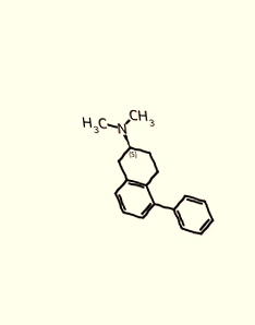 CN(C)[C@H]1CCc2c(cccc2-c2ccccc2)C1